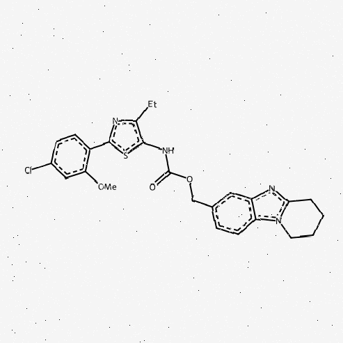 CCc1nc(-c2ccc(Cl)cc2OC)sc1NC(=O)OCc1ccc2c(c1)nc1n2CCCC1